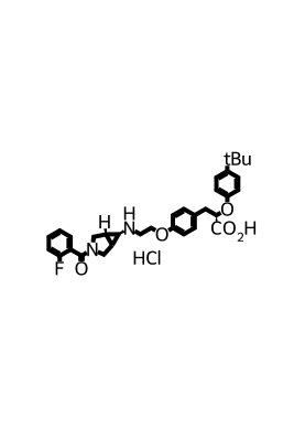 CC(C)(C)c1ccc(O[C@@H](Cc2ccc(OCCN[C@H]3C4CN(C(=O)c5ccccc5F)C[C@@H]43)cc2)C(=O)O)cc1.Cl